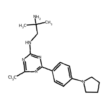 CC(C)(N)CNc1nc(-c2ccc(N3CCCC3)cc2)nc(C(Cl)(Cl)Cl)n1